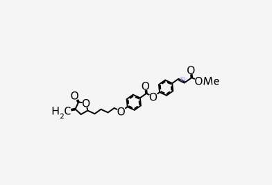 C=C1CC(CCCCOc2ccc(C(=O)Oc3ccc(/C=C/C(=O)OC)cc3)cc2)OC1=O